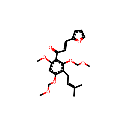 COCOc1cc(OC)c(C(=O)/C=C/c2ccco2)c(OCOC)c1CC=C(C)C